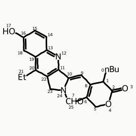 CCCCC1C(=O)OCC(C)=C1/C=C1/c2nc3ccc(O)cc3c(CC)c2CN1C=O